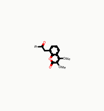 COc1c(OC)c2cccc(CC(=O)C(C)C)c2oc1=O